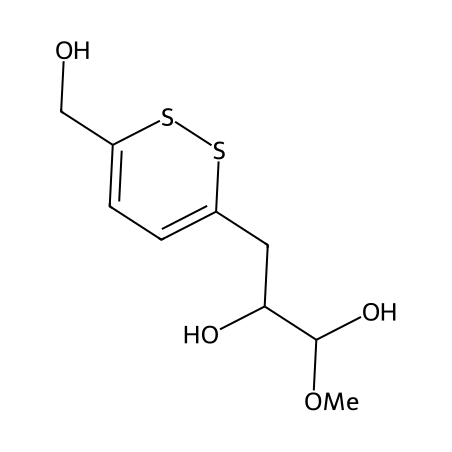 COC(O)C(O)CC1=CC=C(CO)SS1